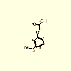 O=C(O)COc1cccc(CBr)c1